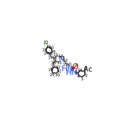 CC(=O)c1cccc(NC(=O)NCCCN2CCC(Cc3ccc(F)cc3)C(Cc3ccccc3)C2)c1